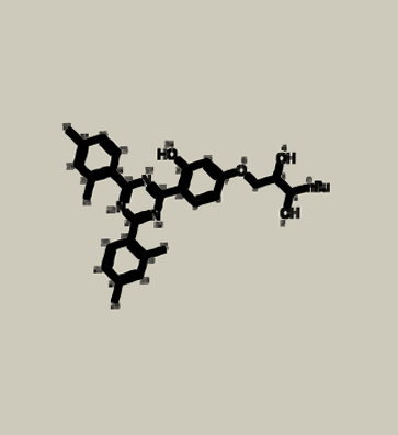 CCCCC(O)C(O)COc1ccc(-c2nc(-c3ccc(C)cc3C)nc(-c3ccc(C)cc3C)n2)c(O)c1